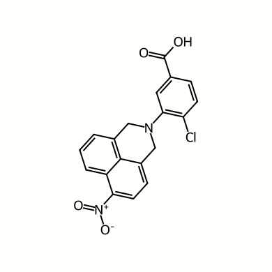 O=C(O)c1ccc(Cl)c(N2Cc3cccc4c([N+](=O)[O-])ccc(c34)C2)c1